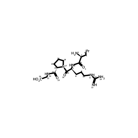 CC(C)C[C@H](N)C(=O)N[C@@H](CCCNC(=N)N)C(=O)N1CCC[C@H]1C(=O)NCC(=O)O